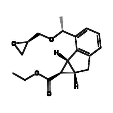 CCOC(=O)[C@@H]1[C@H]2Cc3cccc([C@@H](C)OC[C@H]4CO4)c3[C@H]21